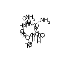 Cc1noc(C)c1-c1cc(CI)c2c(c1)CNC(=O)[C@H](Cc1c[nH]c3ccccc13)N(C)C(=O)[C@H](CCCCN)NC(=O)[C@H](CCC(N)=O)NCc1cccnc1S2